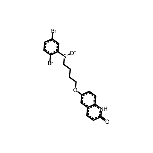 O=c1ccc2cc(OCCCC[S+]([O-])c3cc(Br)ccc3Br)ccc2[nH]1